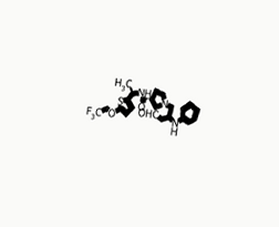 C[C@@H](NC(=O)[C@@H]1CCN(CC(CC=O)Nc2ccccc2)C1)c1ccc(OCC(F)(F)F)s1